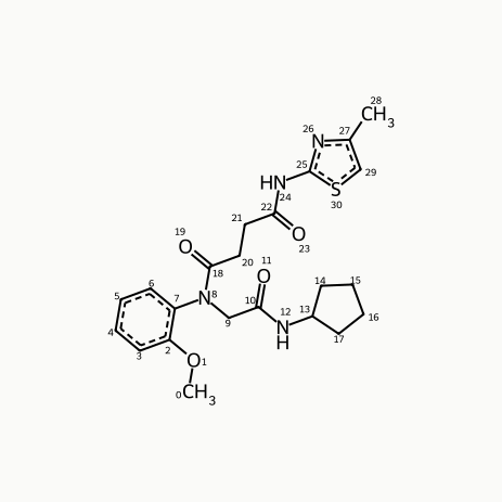 COc1ccccc1N(CC(=O)NC1CCCC1)C(=O)CCC(=O)Nc1nc(C)cs1